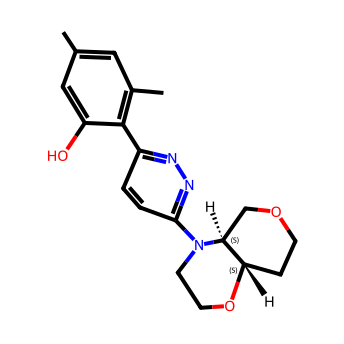 Cc1cc(C)c(-c2ccc(N3CCO[C@H]4CCOC[C@@H]43)nn2)c(O)c1